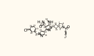 CC#CC(=O)N1CC[C@]2(C1)C[C@H](n1nc(-c3cnn(Cc4cccc(Cl)c4)c3)c(C(N)=O)c1NC)C2